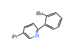 CCC(C)c1ccccc1-c1ccc(C(C)C)cn1